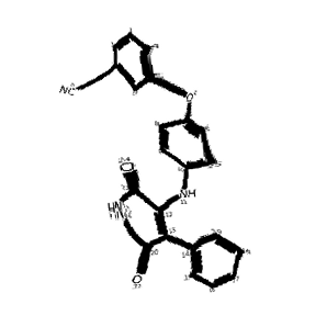 N#Cc1cccc(Oc2ccc(NC3=C(c4ccccc4)C(=O)NC3=O)cc2)c1